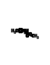 CCOC(=O)C=NNc1ccc(C)cc1